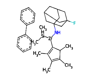 CC1=C(C)C(C)[C]([Zr]([NH]C23CC4CC(CC(F)(C4)C2)C3)[SiH](C)C)=C1C.c1ccc(-c2ccccc2)cc1